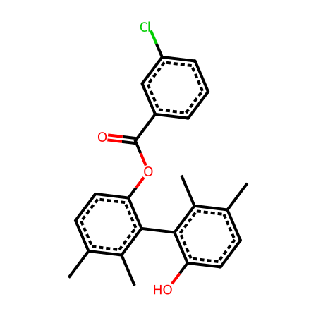 Cc1ccc(O)c(-c2c(OC(=O)c3cccc(Cl)c3)ccc(C)c2C)c1C